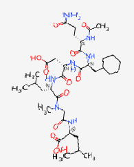 CC(=O)N[C@@H](CCC(N)=O)C(=O)N[C@@H](CC1CCCCC1)C(=O)N[C@@H](CC(=O)O)C(=O)N[C@@H](CC(C)C)C(=O)N(C)CC(=O)N[C@@H](CC(C)C)C(=O)O